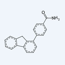 NC(=O)c1ccc(-c2cccc3c2Cc2ccccc2-3)cc1